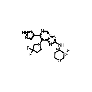 F[C@@H]1COCC[C@@H]1Nc1nc2c(N3CCC(F)(F)C3)c(-c3cn[nH]c3)ncn2n1